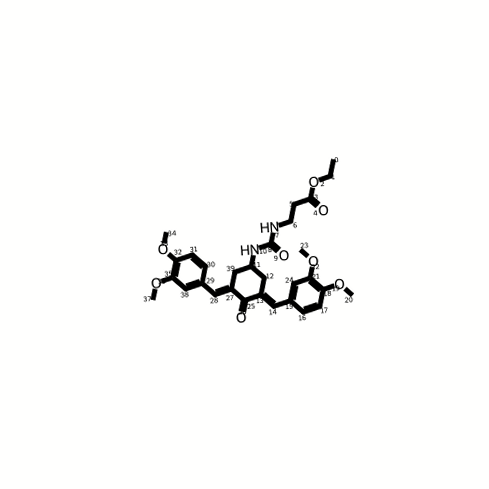 CCOC(=O)CCNC(=O)NC1C/C(=C\c2ccc(OC)c(OC)c2)C(=O)/C(=C/c2ccc(OC)c(OC)c2)C1